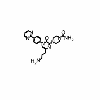 NCCCc1cn(-c2ccc(-c3ncccn3)cc2)c(=O)c(N2CCN(C(N)=O)CC2)n1